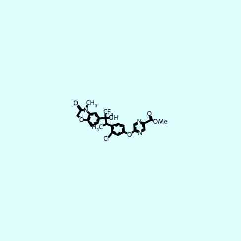 COC(=O)c1cnc(Oc2ccc(C(C)C(O)(c3ccc4c(c3)N(C)C(=O)CO4)C(F)(F)F)c(Cl)c2)cn1